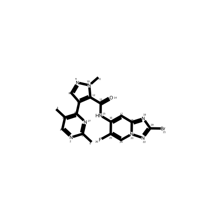 Cc1ncc(C)c(-c2cnn(C)c2C(=O)Nc2cc3nc(Br)nn3cc2F)n1